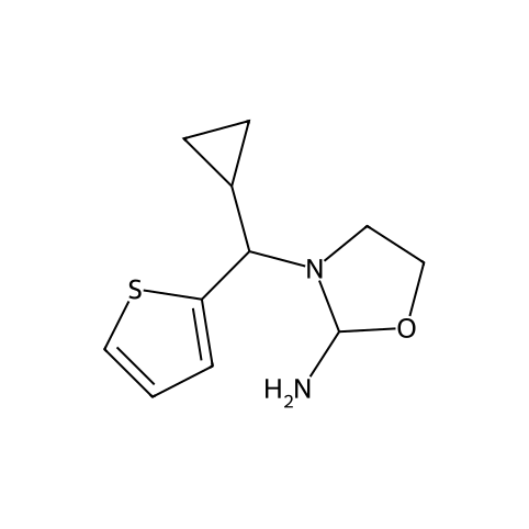 NC1OCCN1C(c1cccs1)C1CC1